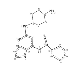 NC1CCC(Nc2cc(NC(=O)c3ccccc3)c3nccn3n2)CC1